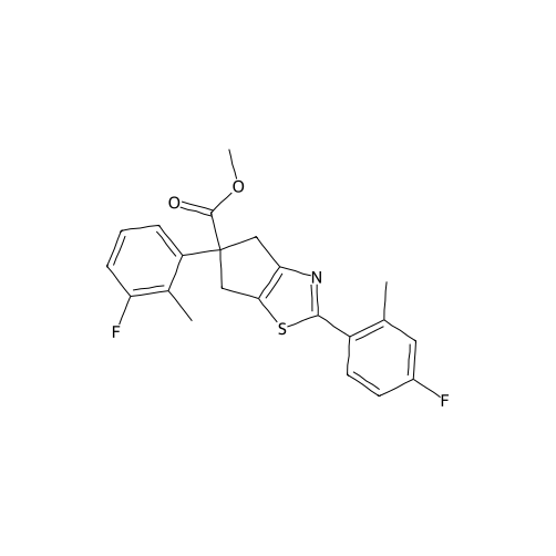 COC(=O)C1(c2cccc(F)c2C)Cc2nc(-c3ccc(F)cc3C)sc2C1